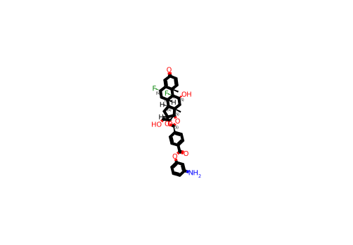 C[C@]12C=CC(=O)C=C1[C@@H](F)C[C@H]1[C@@H]3C[C@H]4O[C@H](c5ccc(C(=O)Oc6cccc(N)c6)cc5)O[C@@]4(C(=O)CO)[C@@]3(C)C[C@H](O)[C@@]12F